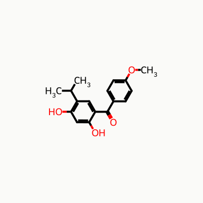 COc1ccc(C(=O)c2cc(C(C)C)c(O)cc2O)cc1